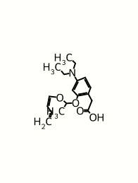 C=C/C=C\OC(C)Oc1cc(N(CC)CC)ccc1CC(=O)O